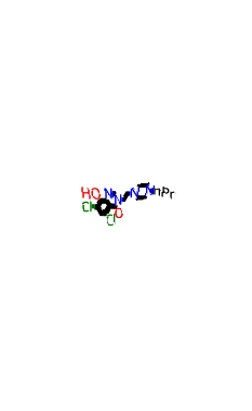 CCCN1CCN(CCn2cnc3c(O)c(Cl)cc(Cl)c3c2=O)CC1